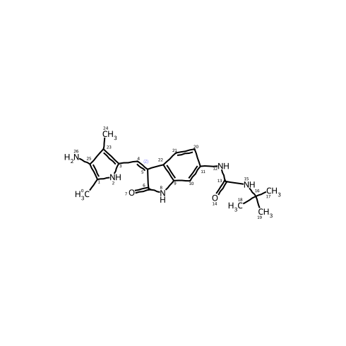 Cc1[nH]c(/C=C2\C(=O)Nc3cc(NC(=O)NC(C)(C)C)ccc32)c(C)c1N